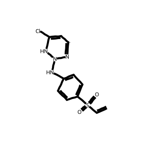 C=CS(=O)(=O)c1ccc(NN2N=[C]C=C(Cl)N2)cc1